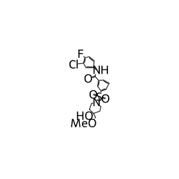 COCC1(O)CCN(S(=O)(=O)c2cccc(C(=O)Nc3ccc(F)c(Cl)c3)c2)CC1